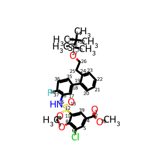 COC(=O)c1cc(Cl)c(OC)c(S(=O)(=O)Nc2cc(-c3ccccc3CCO[Si](C)(C)C(C)(C)C)ccc2F)c1